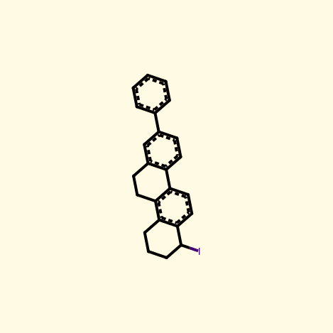 IC1CCCc2c1ccc1c2CCc2cc(-c3ccccc3)ccc2-1